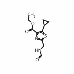 CCOC(=O)c1nc(CNC=O)sc1C1CC1